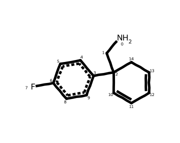 NCC1(c2ccc(F)cc2)C=CC=CC1